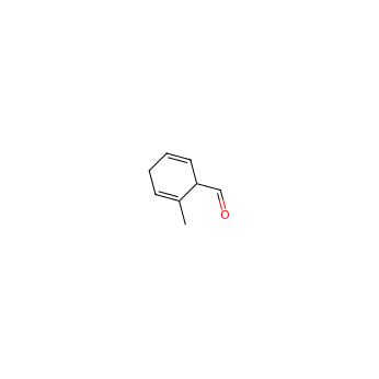 CC1=CCC=CC1C=O